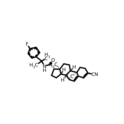 CC(C)(NC(=O)[C@H]1CC[C@H]2[C@@H]3CC=C4C=C(C#N)CC[C@]4(C)[C@H]3CC[C@]12C)c1ccc(F)cc1